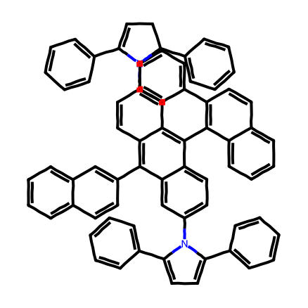 C1=C(c2ccccc2)N(c2ccc3c(-c4ccc5ccccc5c4)c4cc(-n5c(-c6ccccc6)ccc5-c5ccccc5)ccc4c(-c4c(-c5ccccc5)ccc5ccccc45)c3c2)C(c2ccccc2)C1